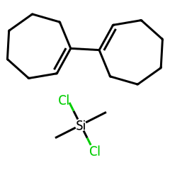 C1=C(C2=CCCCCC2)CCCCC1.C[Si](C)(Cl)Cl